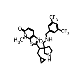 Cn1c(=O)ccc2nc(C(CC3CC3)C3(C(=O)NCc4cc(C(F)(F)F)cc(C(F)(F)F)c4)CCNC3)sc21